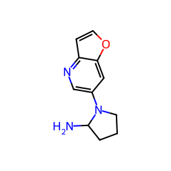 NC1CCCN1c1cnc2ccoc2c1